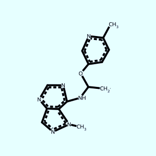 [CH2]C(Nc1ncnc2cnn(C)c12)Oc1ccc(C)nc1